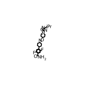 CC(C)c1noc(N2CCC(ON=C3CCC(c4cc(F)c(C(N)=O)cc4F)CC3)CC2)n1